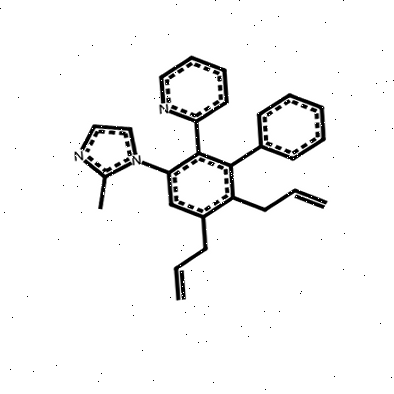 C=CCc1cc(-n2ccnc2C)c(-c2ccccn2)c(-c2ccccc2)c1CC=C